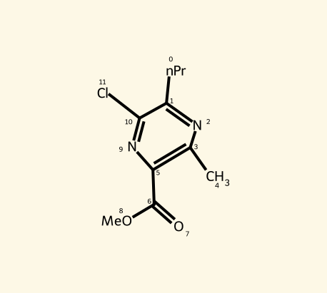 CCCc1nc(C)c(C(=O)OC)nc1Cl